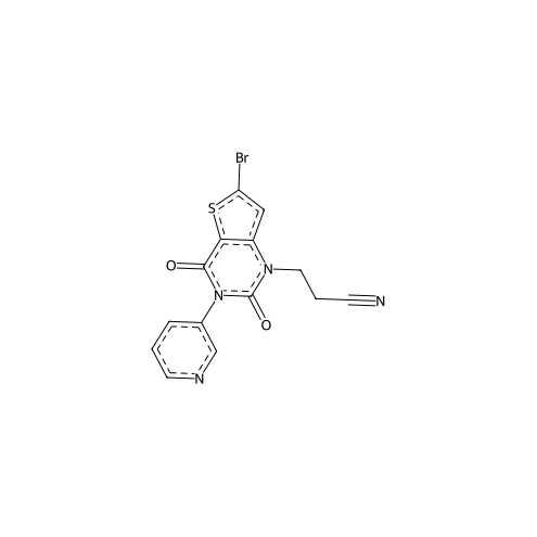 N#CCCn1c(=O)n(-c2cccnc2)c(=O)c2sc(Br)cc21